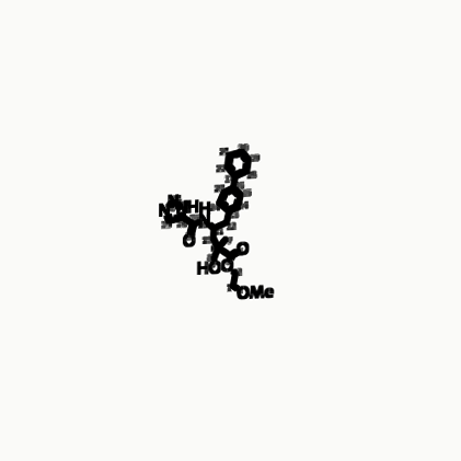 COCCOC(=O)C(C)(CO)CC(Cc1ccc(-c2ccccc2)cc1)NC(=O)c1cnn[nH]1